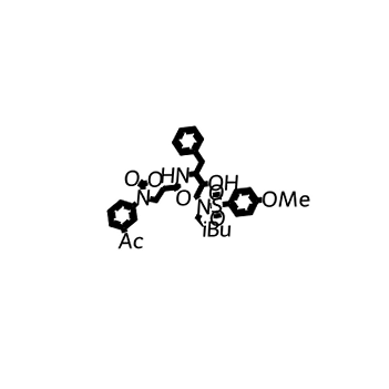 CC[C@H](C)CN(CC(O)C(Cc1ccccc1)NC(=O)C1CN(c2cccc(C(C)=O)c2)C(=O)O1)S(=O)(=O)c1ccc(OC)cc1